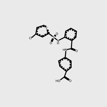 O=C(O)c1ccc(NC(=O)c2ccccc2NS(=O)(=O)c2cccc(Cl)c2)cc1